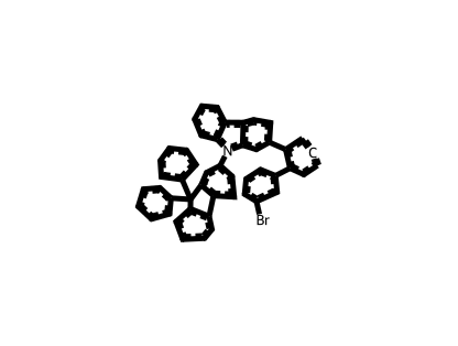 Brc1cccc(-c2ccccc2-c2ccc3c4ccccc4n(-c4ccc5c(c4)C(c4ccccc4)(c4ccccc4)c4ccccc4-5)c3c2)c1